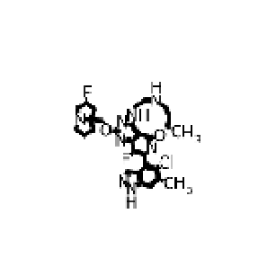 Cc1cc2[nH]ncc2c(-c2nc3c4c(nc(OCC56CCCN5C[C@H](F)C6)nc4c2F)NCCNCC[C@H](C)O3)c1Cl